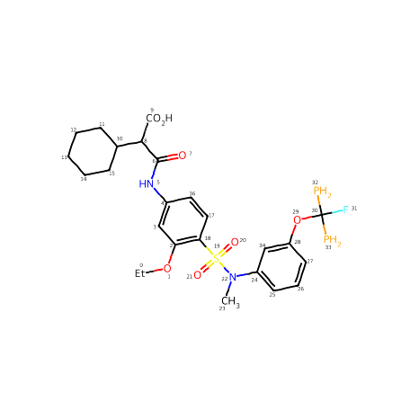 CCOc1cc(NC(=O)C(C(=O)O)C2CCCCC2)ccc1S(=O)(=O)N(C)c1cccc(OC(F)(P)P)c1